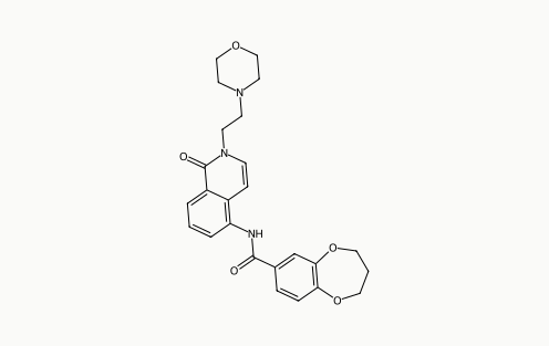 O=C(Nc1cccc2c(=O)n(CCN3CCOCC3)ccc12)c1ccc2c(c1)OCCCO2